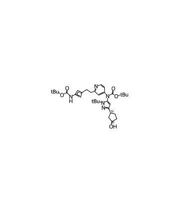 CC(C)(C)OC(=O)NC12CC(CCc3cc(N(C(=O)OC(C)(C)C)c4cc([C@H]5CC[C@@H](O)C5)nn4C(C)(C)C)ccn3)(C1)C2